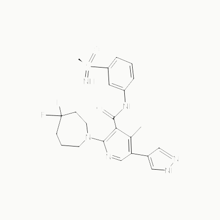 Cc1c(-c2cn[nH]c2)cnc(N2CCCC(F)(F)CC2)c1C(=O)Nc1cccc([S@](C)(=N)=O)c1